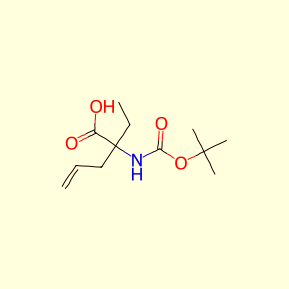 C=CCC(CC)(NC(=O)OC(C)(C)C)C(=O)O